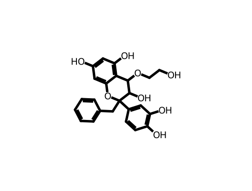 OCCOC1c2c(O)cc(O)cc2OC(Cc2ccccc2)(c2ccc(O)c(O)c2)C1O